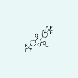 CCOC(=O)C(C(=O)C1CCC(C(F)(F)F)CC1)c1ccc(C(F)(F)F)nc1